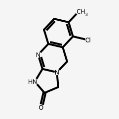 Cc1ccc2c(c1Cl)CN1CC(=O)NC1=N2